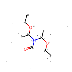 CCOC(C)N([C]=O)C(C)OCC